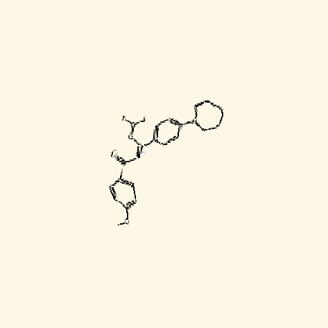 COc1ccc(C(=O)/C=C(\OB(F)F)c2ccc(N3CCCCC3)cc2)cc1